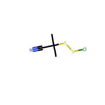 CC(C)(C#N)SSCl